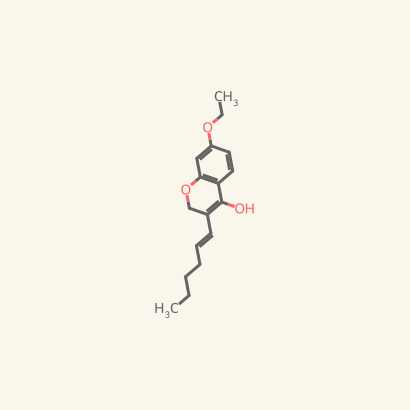 CCCCC=CC1=C(O)c2ccc(OCC)cc2OC1